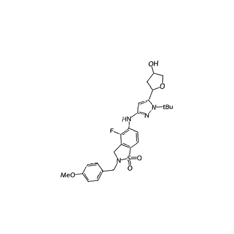 COc1ccc(CN2Cc3c(ccc(Nc4cc(C5CC(O)CO5)n(C(C)(C)C)n4)c3F)S2(=O)=O)cc1